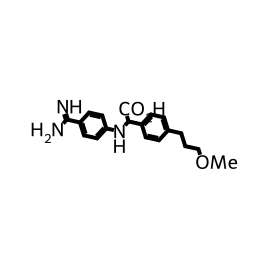 COCCCc1ccc(C(Nc2ccc(C(=N)N)cc2)C(=O)O)cc1